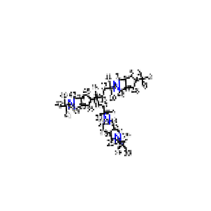 CC(C)(C)C1CC2CN(C(C)(C)CCC(C)(CCC(C)(C)N3CCC4CN(C(C)(C)C)CC4C3)C3CC4CN(C(C)(C)C)CC4C3)CC2C1